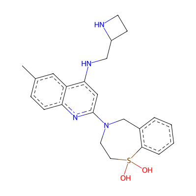 Cc1ccc2nc(N3CCS(O)(O)c4ccccc4C3)cc(NCC3CCN3)c2c1